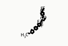 CCC[C@H]1CC[C@H](c2ccc(-c3cc(F)c(OCC4CCOC(c5ccc(OC(F)(F)F)cc5)O4)c(F)c3)cc2)CC1